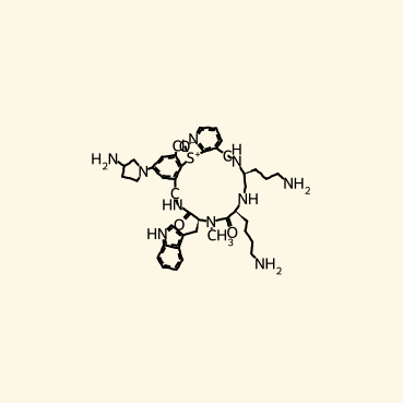 CN1C(=O)[C@H](CCCCN)NC[C@H](CCCN)NCc2cccnc2[S+]([O-])c2c(Cl)cc(N3CCC(N)C3)cc2CNC(=O)[C@@H]1Cc1c[nH]c2ccccc12